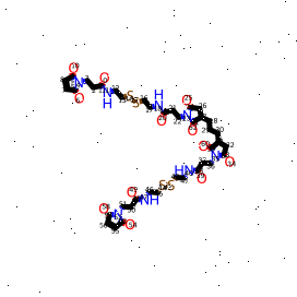 O=C(CCN1C(=O)C=CC1=O)NCCSSCCNC(=O)CCN1C(=O)CC(CCCC2CC(=O)N(CCC(=O)NCCSSCCNC(=O)CCN3C(=O)C=CC3=O)C2=O)C1=O